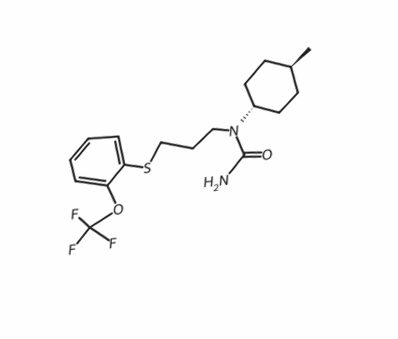 C[C@H]1CC[C@H](N(CCCSc2ccccc2OC(F)(F)F)C(N)=O)CC1